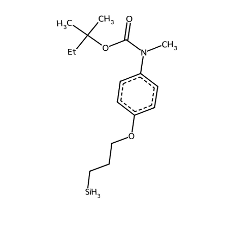 CCC(C)(C)OC(=O)N(C)c1ccc(OCCC[SiH3])cc1